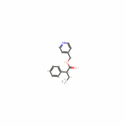 O=C(OCc1ccncc1)C(CC(F)(F)F)c1ccccc1